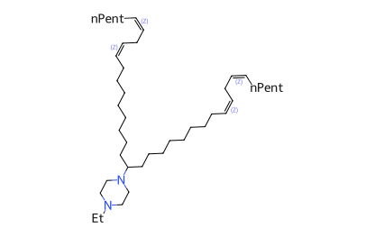 CCCCC/C=C\C/C=C\CCCCCCCCC(CCCCCCCC/C=C\C/C=C\CCCCC)N1CCN(CC)CC1